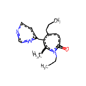 CCc1cc(=O)n(CC)c(C)c1-c1ccncn1